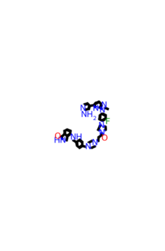 Cc1nc2ccc(-c3ccnc(N)c3)nc2n1-c1ccc(N2CCN(C(=O)CCN3CCN(Cc4ccc(CNc5cccc6c5CNC6=O)cc4)CC3)CC2)c(F)c1